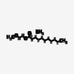 CCCCCCCCCCC(=O)OCCOC.N